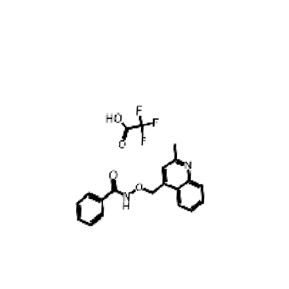 Cc1cc(CONC(=O)c2ccccc2)c2ccccc2n1.O=C(O)C(F)(F)F